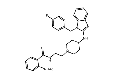 CC(=O)Nc1ccccc1C(=O)NCCN1CCC(Nc2nc3ccccc3n2Cc2ccc(F)cc2)CC1